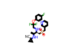 C=C(NC1(C#N)CC1)[C@H](CS(=O)(=O)Cc1cccnc1)NCC(F)(F)Oc1ccc(F)cc1